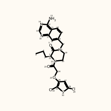 CCC[C@H]1C(=O)N(Cc2ccc3c(N)ncnc3c2)CCN1C(=O)COc1cc(Cl)sc1Cl